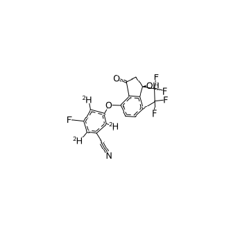 [2H]c1c(F)c([2H])c(Oc2ccc3c4c2C(=O)C[C@]4(O)C(F)(F)C3(F)F)c([2H])c1C#N